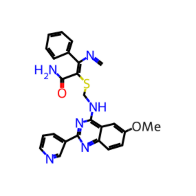 C=N/C(=C(\SCNc1nc(-c2cccnc2)nc2ccc(OC)cc12)C(N)=O)c1ccccc1